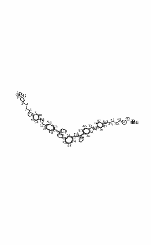 CC[C@H](C)COCCCCOc1ccc(N=Cc2ccc(C(=O)Oc3cccc(OC(=O)c4ccc(C=Nc5ccc(OCCCCOC[C@@H](C)CC)cc5)cc4)c3)cc2)cc1